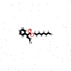 CCCCCCCCOC(=O)C(CCC)c1ccccc1